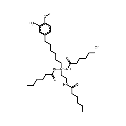 CCCCCC(=O)NCC[N+](CCCCCCc1ccc(OC)c(N)c1)(NC(=O)CCCCC)NC(=O)CCCCC.[Cl-]